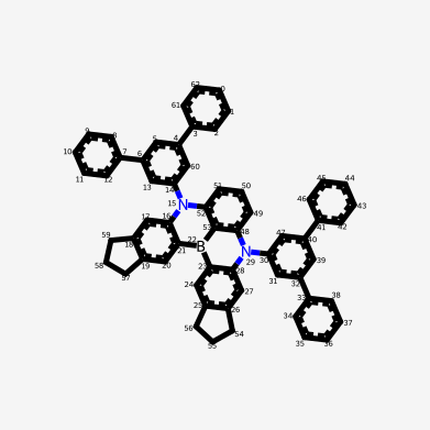 c1ccc(-c2cc(-c3ccccc3)cc(N3c4cc5c(cc4B4c6cc7c(cc6N(c6cc(-c8ccccc8)cc(-c8ccccc8)c6)c6cccc3c64)CCC7)CCC5)c2)cc1